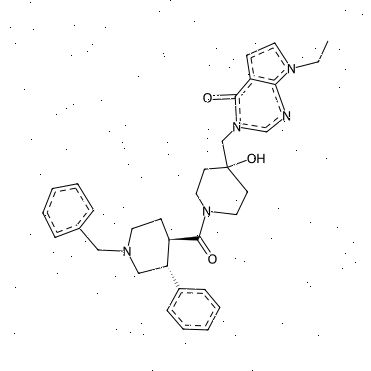 CCn1ccc2c(=O)n(CC3(O)CCN(C(=O)[C@@H]4CCN(Cc5ccccc5)C[C@H]4c4ccccc4)CC3)cnc21